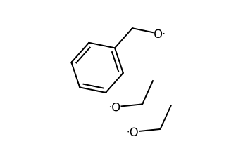 CC[O].CC[O].[O]Cc1ccccc1